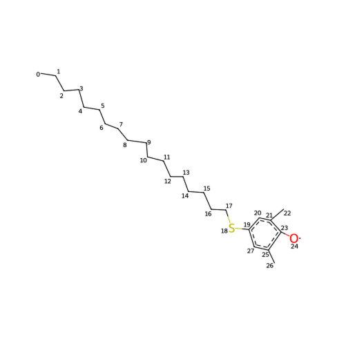 CCCCCCCCCCCCCCCCCCSc1cc(C)c([O])c(C)c1